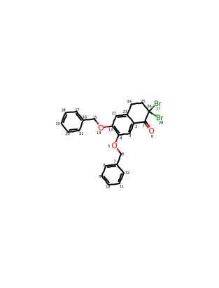 O=C1c2cc(OCc3ccccc3)c(OCc3ccccc3)cc2CCC1(Br)Br